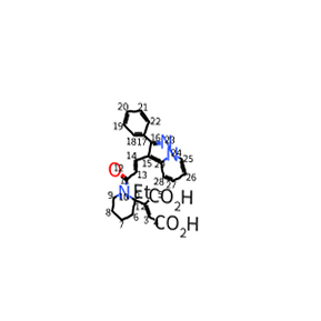 CCC1(/C(=C/C(=O)O)C(=O)O)CCCCN1C(=O)C=Cc1c(-c2ccccc2)nn2ccccc12